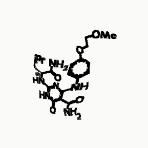 COCCOc1ccc(Nc2nc(N[C@H](CC(C)C)C(N)=O)[nH]c(=O)c2C(N)=O)cc1